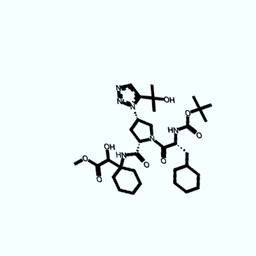 COC(=O)C(O)C1(NC(=O)[C@@H]2C[C@H](n3nncc3C(C)(C)O)CN2C(=O)[C@@H](CC2CCCCC2)NC(=O)OC(C)(C)C)CCCCC1